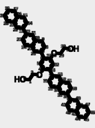 OCCOc1cc(-c2ccc3cc(-c4ccc5ccccc5c4)ccc3c2)c(OCCO)cc1-c1ccc2cc(-c3ccc4ccccc4c3)ccc2c1